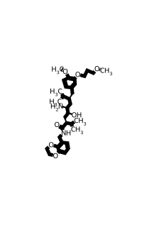 COCCCOc1cc(C[C@@H](C[C@H](N)[C@@H](O)C[C@H](C(=O)NCc2cccc3c2OCCO3)C(C)C)C(C)C)ccc1OC